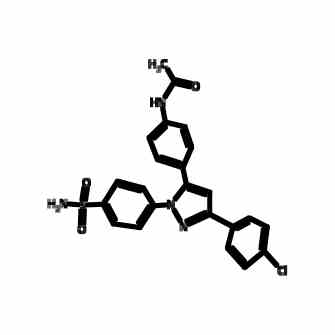 CC(=O)Nc1ccc(-c2cc(-c3ccc(Cl)cc3)nn2-c2ccc(S(N)(=O)=O)cc2)cc1